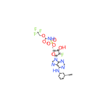 C#Cc1cccc(Nc2ncnc3c2ncn3[C@@H]2O[C@H](COS(=O)(=O)NC(=O)OCC(F)(F)F)[C@@H](O)[C@@H]2F)c1